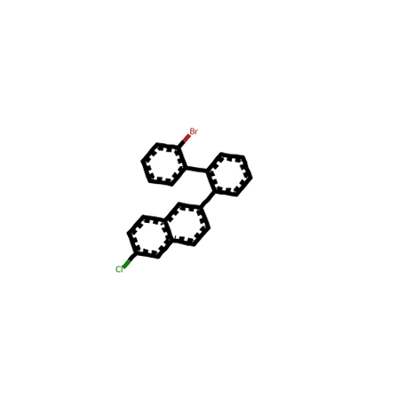 Clc1ccc2cc(-c3ccccc3-c3ccccc3Br)ccc2c1